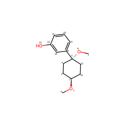 CO[C@H]1CC[C@@](OC)(c2cccc(O)c2)CC1